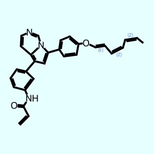 C=CC(=O)Nc1cccc(-c2cc(-c3ccc(O/C=C/C=C\C=C/C)cc3)n3cnccc23)c1